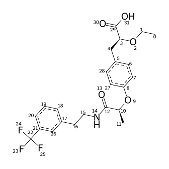 CCO[C@@H](Cc1ccc(O[C@@H](C)C(=O)NCCc2cccc(C(F)(F)F)c2)cc1)C(=O)O